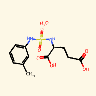 Cc1cccc(NS(=O)(=O)N[C@@H](CCC(=O)O)C(=O)O)c1.O